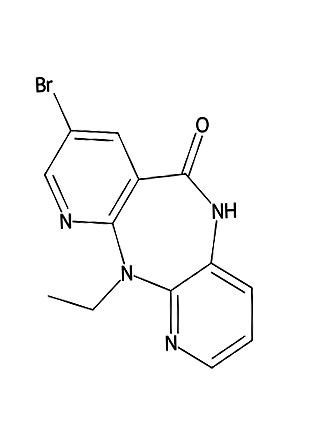 CCN1c2ncccc2NC(=O)c2cc(Br)cnc21